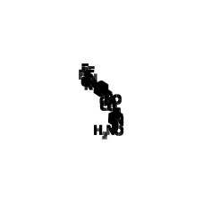 CON(Cc1ccc(-c2noc(C(F)(F)F)n2)cc1)C(=O)OCc1ccc(C(N)=O)nc1